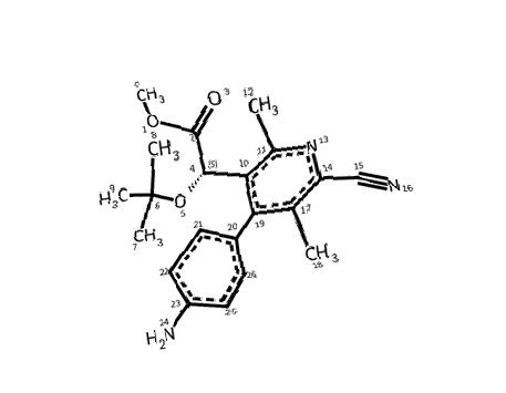 COC(=O)[C@@H](OC(C)(C)C)c1c(C)nc(C#N)c(C)c1-c1ccc(N)cc1